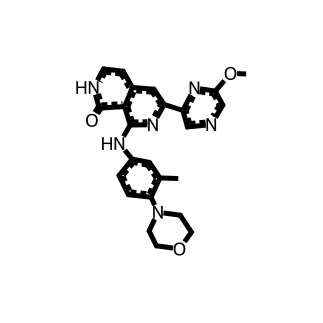 COc1cncc(-c2cc3cc[nH]c(=O)c3c(Nc3ccc(N4CCOCC4)c(C)c3)n2)n1